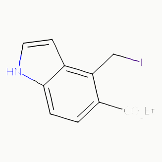 CCOC(=O)c1ccc2[nH]ccc2c1CI